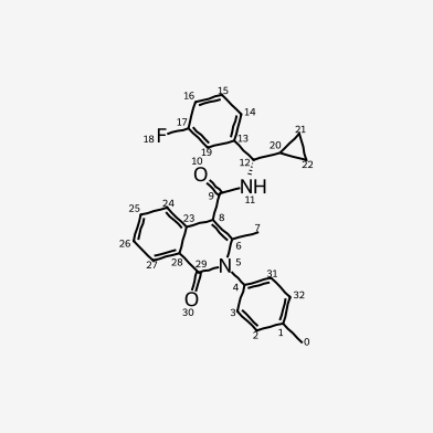 Cc1ccc(-n2c(C)c(C(=O)N[C@H](c3cccc(F)c3)C3CC3)c3ccccc3c2=O)cc1